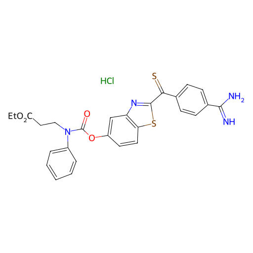 CCOC(=O)CCN(C(=O)Oc1ccc2sc(C(=S)c3ccc(C(=N)N)cc3)nc2c1)c1ccccc1.Cl